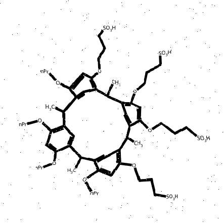 CCCOc1cc(OCCC)c2cc1C(C)c1cc(c(OCCCS(=O)(=O)O)cc1OCCC)C(C)c1cc(c(OCCCS(=O)(=O)O)cc1OCCCS(=O)(=O)O)C(C)c1cc(c(OCCC)cc1OCCCS(=O)(=O)O)C2C